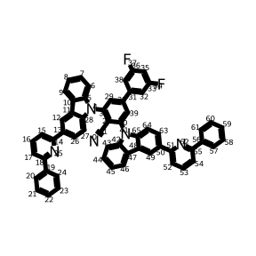 N#Cc1c(-n2c3ccccc3c3cc(-c4cccc(-c5ccccc5)n4)ccc32)cc(-c2cc(F)cc(F)c2)cc1-n1c2ccccc2c2cc(-c3cccc(-c4ccccc4)n3)ccc21